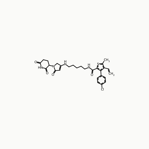 C=Cc1c(C)sc(C(=O)NCCCCCNC2=CC(=O)N(C3CCC(=O)NC3=O)C2)c1-c1ccc(Cl)cc1